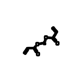 C=CC(=O)OSOC(=O)C=C